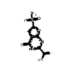 NS(=O)(=O)c1cc2c(=O)[nH]c(C(=O)O)nc2s1